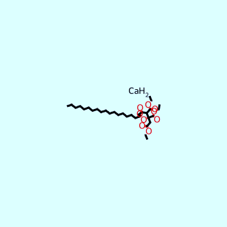 CCCCCCCCCCCCCCCCCC(=O)OC(CC(=O)OCC)(C(=O)OCC)C(C(C)=O)C(=O)OCC.[CaH2]